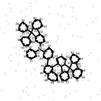 C1=CC2C(C(c3c(-c4cccc(N(c5ccccc5)c5ccc6c(c5)C(c5ccccc5)(c5ccccc5)c5ccccc5-6)c4)ccc4ccccc34)=C1)c1ccccc1C21c2ccccc2-c2ccccc21